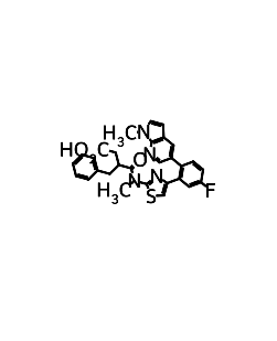 CN(C(=O)C(CC(=O)O)Cc1ccccc1)c1nc(-c2cc(F)ccc2-c2cnc3c(ccn3C)c2)cs1